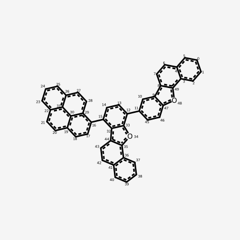 c1ccc2c(c1)ccc1c3cc(-c4ccc(-c5ccc6ccc7cccc8ccc5c6c78)c5c4oc4c6ccccc6ccc45)ccc3oc21